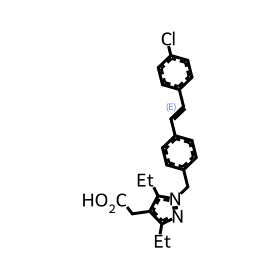 CCc1nn(Cc2ccc(/C=C/c3ccc(Cl)cc3)cc2)c(CC)c1CC(=O)O